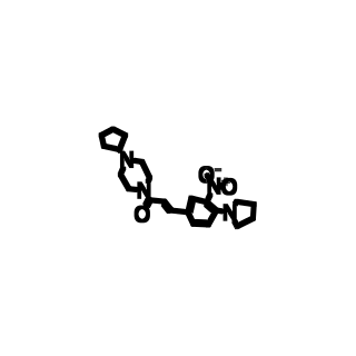 O=C(C=Cc1ccc(N2CCCC2)c([N+](=O)[O-])c1)N1CCN(C2CCCC2)CC1